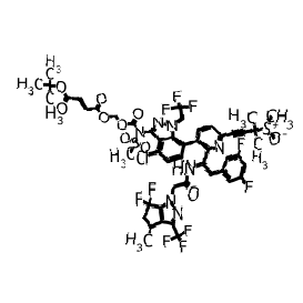 C[C@H]1CC(F)(F)c2c1c(C(F)(F)F)nn2CC(=O)NC(Cc1cc(F)cc(F)c1)c1nc(C#CC(C)(C)[S+](C)[O-])ccc1-c1ccc(Cl)c2c(N(C(=O)OCOC(=O)/C=C/C(=O)OC(C)(C)C)S(C)(=O)=O)nn(CC(F)(F)F)c12